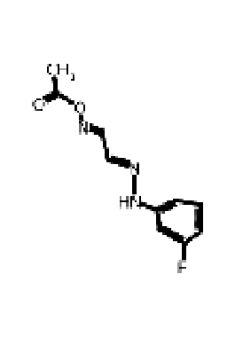 CC(=O)O/N=C/C=N/Nc1cccc(F)c1